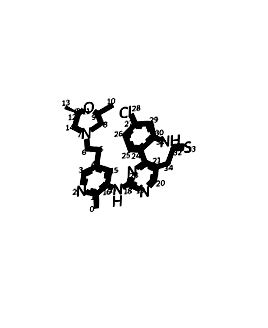 Cc1ncc(CCN2CC(C)O[C@H](C)C2)cc1Nc1ncc2c(n1)-c1ccc(Cl)cc1NC(=S)C2